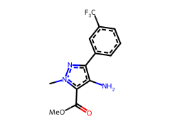 COC(=O)c1c(N)c(-c2cccc(C(F)(F)F)c2)nn1C